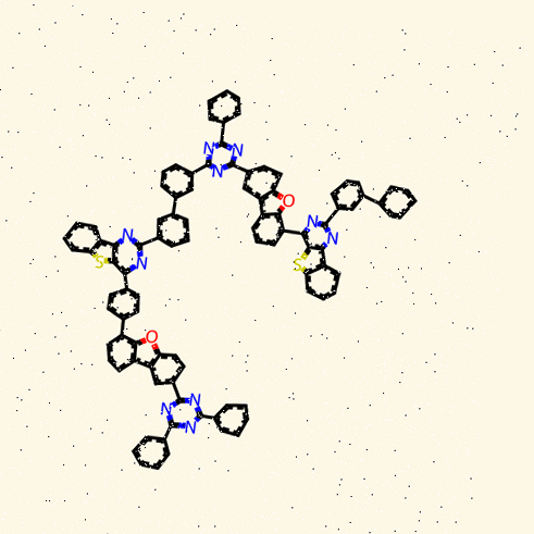 c1ccc(-c2cccc(-c3nc(-c4cccc5c4oc4ccc(-c6nc(-c7ccccc7)nc(-c7cccc(-c8cccc(-c9nc(-c%10ccc(-c%11cccc%12c%11oc%11ccc(-c%13nc(-c%14ccccc%14)nc(-c%14ccccc%14)n%13)cc%11%12)cc%10)c%10sc%11ccccc%11c%10n9)c8)c7)n6)cc45)c4sc5ccccc5c4n3)c2)cc1